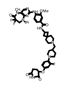 COc1cc(C(=O)NC2CC3(CCN(CC4CCN(c5ccc(OC6CCC(=O)NC6=O)cc5F)CC4)CC3)C2)ccc1Nc1ncc2c(n1)N(C(C)C)CC(F)(F)C(=O)N2C